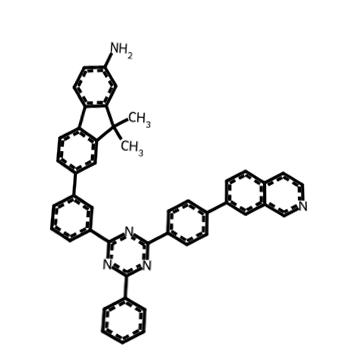 CC1(C)c2cc(N)ccc2-c2ccc(-c3cccc(-c4nc(-c5ccccc5)nc(-c5ccc(-c6ccc7ccncc7c6)cc5)n4)c3)cc21